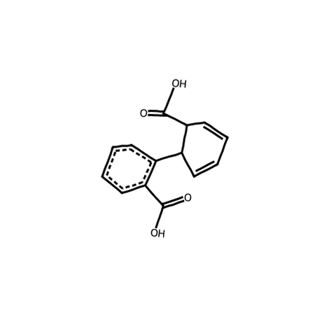 O=C(O)c1ccccc1C1C=CC=CC1C(=O)O